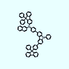 c1ccc(-n2c3ccc(-c4ccc(N(c5ccc6c(c5)C(c5ccccc5)(c5ccccc5)c5ccccc5-6)c5ccc6ccccc6c5)cc4)cc3c3cc(-c4ccc(C5(c6ccccc6)c6ccccc6-c6ccccc65)cc4)ccc32)cc1